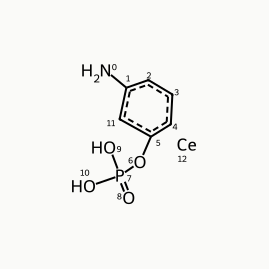 Nc1cccc(OP(=O)(O)O)c1.[Ce]